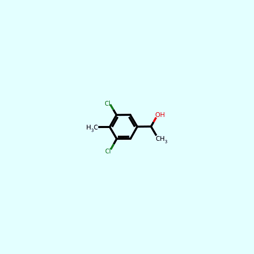 Cc1c(Cl)cc(C(C)O)cc1Cl